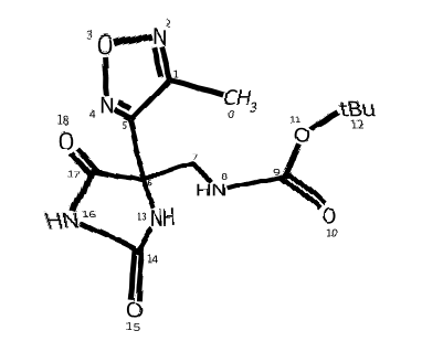 Cc1nonc1C1(CNC(=O)OC(C)(C)C)NC(=O)NC1=O